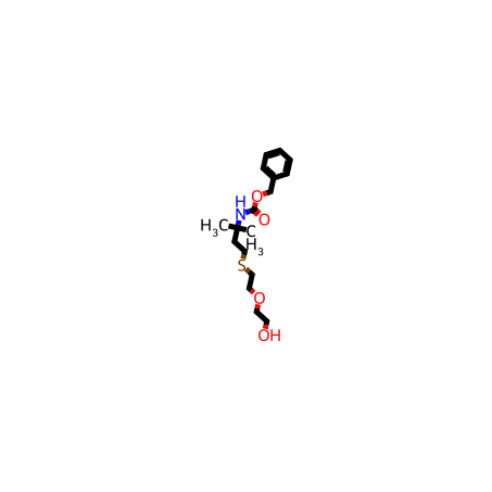 CC(C)(CCSCCOCCO)NC(=O)OCc1ccccc1